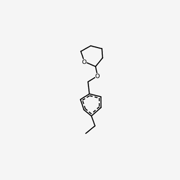 CCc1ccc(COC2CCCCO2)cc1